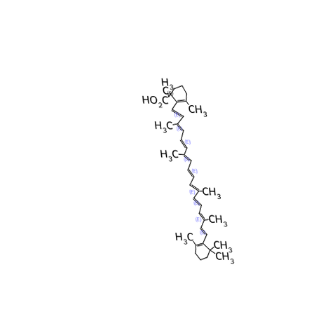 CC1=C(/C=C/C(C)=C/C=C/C(C)=C/C=C/C=C(C)/C=C/C=C(C)/C=C/C2=C(C)CCC[C@]2(C)C(=O)O)C(C)(C)CCC1